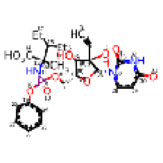 C#C[C@@]1(O)[C@H](O)[C@@H](COP(=O)(N[C@](C)(C(=O)O)C(CC)CC)Oc2ccccc2)O[C@H]1n1ccc(=O)[nH]c1=O